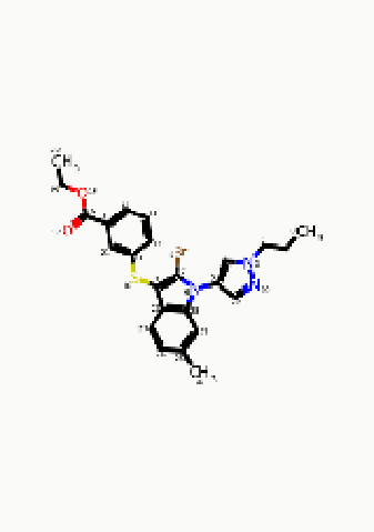 CCCn1cc(-n2c(Br)c(Sc3cccc(C(=O)OCC)c3)c3ccc(C)cc32)cn1